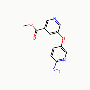 COC(=O)c1cncc(Oc2ccc(N)nc2)c1